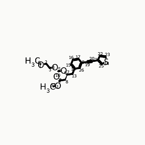 COCCOCO[C@H](CC(=O)OC)Cc1cccc(C#Cc2ccsc2)c1